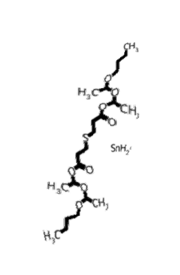 CCCCOC(C)OC(C)OC(=O)CCSCCC(=O)OC(C)OC(C)OCCCC.[SnH2]